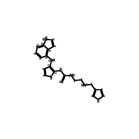 O=C(NCCNCc1ccsc1)Oc1sccc1Nc1ccnc2[nH]ccc12